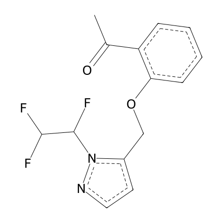 CC(=O)c1ccccc1OCc1ccnn1C(F)C(F)F